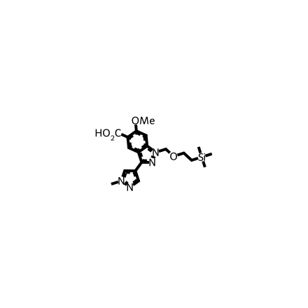 COc1cc2c(cc1C(=O)O)c(-c1cnn(C)c1)nn2COCC[Si](C)(C)C